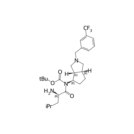 CC(C)C[C@@H](N)C(=O)N(C(=O)OC(C)(C)C)[C@@H]1CC[C@H]2CN(Cc3cccc(C(F)(F)F)c3)C[C@H]21